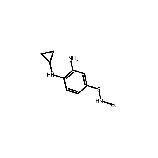 CCNSc1ccc(NC2CC2)c(N)c1